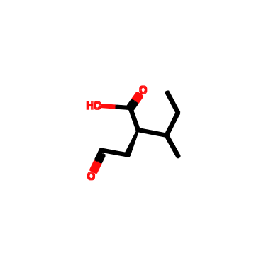 CCC(C)[C@@H](CC=O)C(=O)O